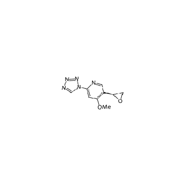 COc1cc(-n2cnnn2)ncc1[C@H]1CO1